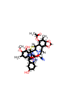 COc1c(C)cc2c(c1O)[C@H]1N[C@H](C2)[C@H](C#N)N2C1[C@@H]1SC[C@]3(NCCc4c3[nH]c3ccc(O)cc43)C(=O)OC[C@H]2c2c3c(c(C)c(OC(C)=O)c21)OCO3